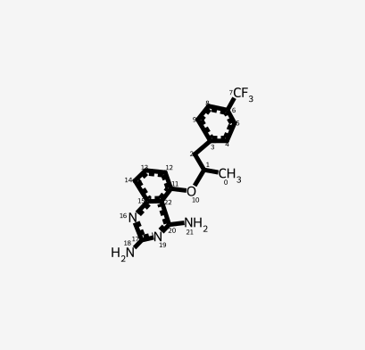 CC(Cc1ccc(C(F)(F)F)cc1)Oc1cccc2nc(N)nc(N)c12